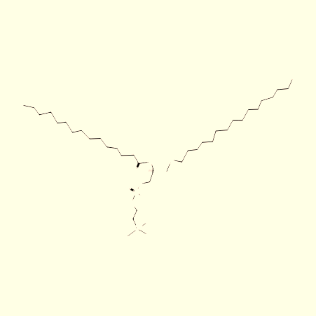 CCCCCCCCCCCCCCCCOC[C@H](COP(=O)([O-])OCC[N+](C)(C)C)OC(=O)CCCCCCCCCCCCCC